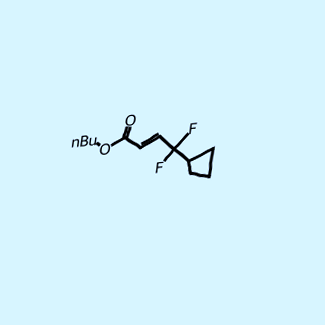 CCCCOC(=O)/C=C/C(F)(F)C1CCC1